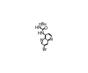 CCCCNC(=O)Nc1ccnc2cc(Br)cnc12